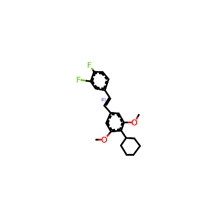 COc1cc(/C=C/c2ccc(F)c(F)c2)cc(OC)c1C1CCCCC1